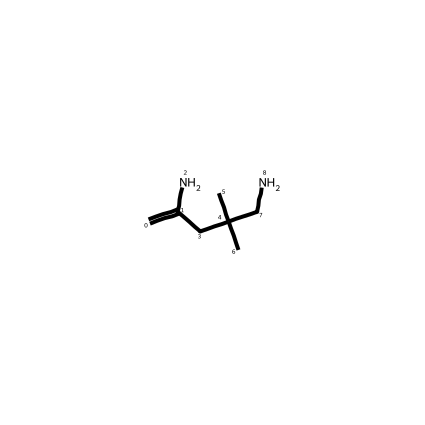 C=C(N)CC(C)(C)CN